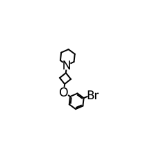 Brc1cccc(OC2CC(N3CCCCC3)C2)c1